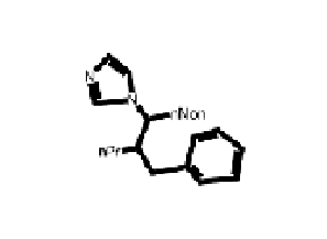 CCCCCCCCCC(C(CCC)Cc1ccccc1)n1ccnc1